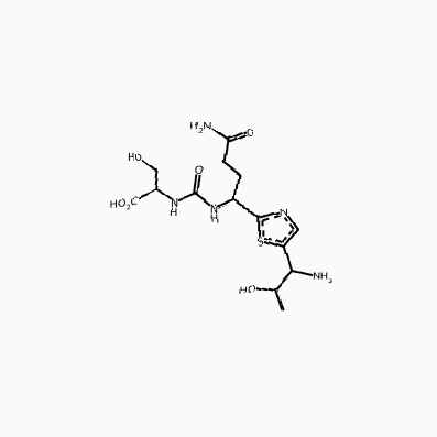 CC(O)C(N)c1cnc(C(CCC(N)=O)NC(=O)NC(CO)C(=O)O)s1